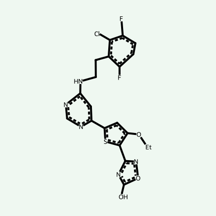 CCOc1cc(-c2cc(NCCc3c(F)ccc(F)c3Cl)ncn2)sc1-c1noc(O)n1